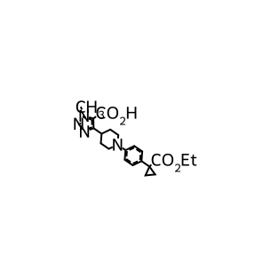 CCOC(=O)C1(c2ccc(N3CCC(c4nnn(C)c4C(=O)O)CC3)cc2)CC1